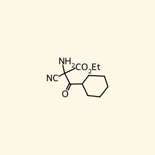 CCOC(=O)C(N)(C#N)C(=O)C1CCCCC1